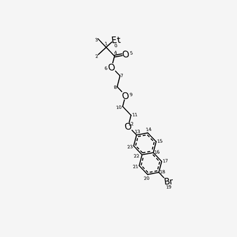 CCC(C)(C)C(=O)OCCOCCOc1ccc2cc(Br)ccc2c1